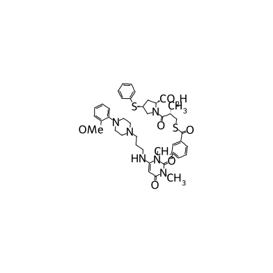 COc1ccccc1N1CCN(CCCNc2cc(=O)n(C)c(=O)n2C)CC1.C[C@H](CSC(=O)c1ccccc1)C(=O)N1C[C@@H](Sc2ccccc2)C[C@H]1C(=O)O